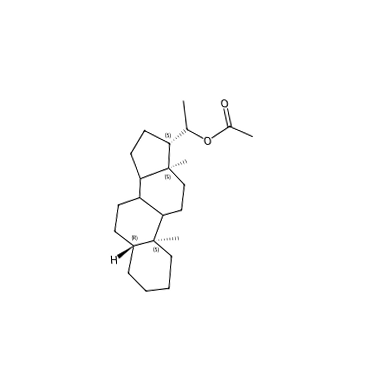 CC(=O)OC(C)[C@H]1CCC2C3CC[C@H]4CCCC[C@]4(C)C3CC[C@@]21C